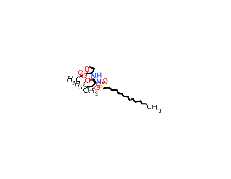 CCCCCCCCCCCCCCCS(=O)(=O)NC(CC(C)C)C(=O)N[C@H]1CCO[C@H]1OC(C)=O